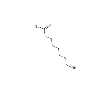 CCC(=O)CCCCCCCO